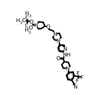 CC(C)(C)OC(=O)N1CCC(OCCN2CCN(c3ccc(NC(=O)C4CCN(c5ccc(C#N)c(C(F)(F)F)c5)CC4)nc3)CC2)CC1